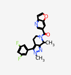 CC1c2nn(C)c(-c3cc(F)cc(F)c3)c2CCN1C(=O)c1cnc2ccoc2c1